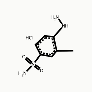 Cc1cc(S(N)(=O)=O)ccc1NN.Cl